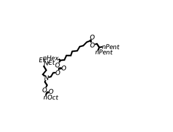 CCCCCCCCC(=O)OCCN(CCCN(CC)CC)CCOC(=O)OC(CCCCCC)CCCCCCCCC(=O)OCC(CCCCC)CCCCC